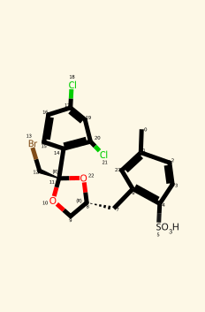 Cc1ccc(S(=O)(=O)O)c(C[C@@H]2CO[C@](CBr)(c3ccc(Cl)cc3Cl)O2)c1